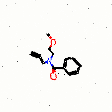 C#CCN(CCOC)C(=O)c1ccccc1